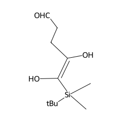 CC(C)(C)[Si](C)(C)C(O)=C(O)CCC=O